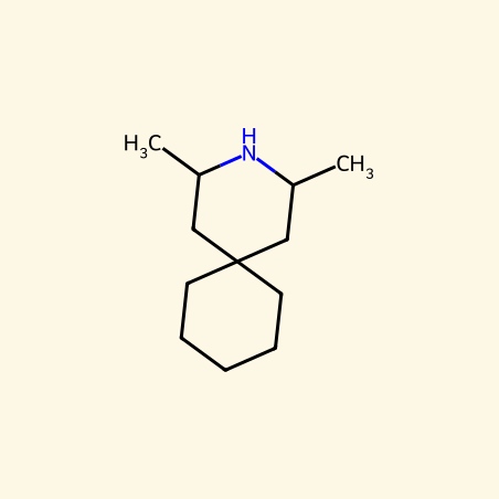 CC1CC2(CCCCC2)CC(C)N1